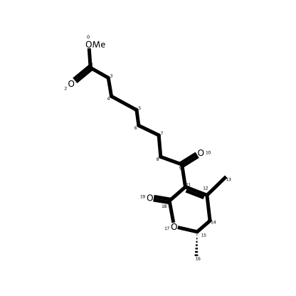 COC(=O)CCCCCCC(=O)C1=C(C)C[C@H](C)OC1=O